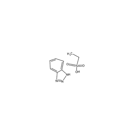 CCS(=O)(=O)O.c1ccc2[nH]nnc2c1